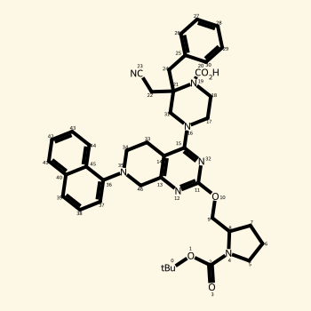 CC(C)(C)OC(=O)N1CCCC1COc1nc2c(c(N3CCN(C(=O)O)C(CC#N)(Cc4ccccc4)C3)n1)CCN(c1cccc3ccccc13)C2